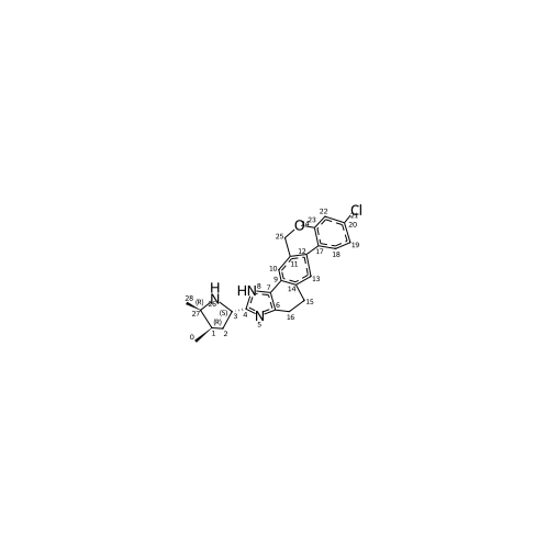 C[C@@H]1C[C@@H](c2nc3c([nH]2)-c2cc4c(cc2CC3)-c2ccc(Cl)cc2OC4)N[C@@H]1C